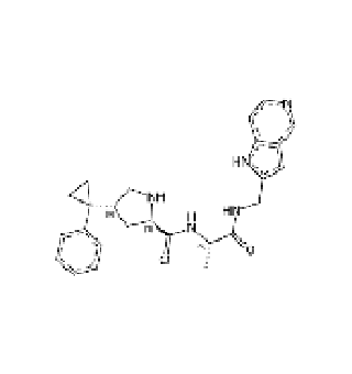 C[C@H](NC(=O)[C@H]1C[C@H](C2(c3ccccc3)CC2)CN1)C(=O)NCc1cc2cnccc2[nH]1